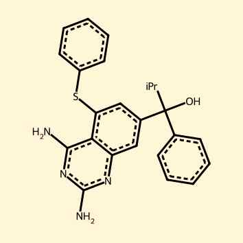 CC(C)C(O)(c1ccccc1)c1cc(Sc2ccccc2)c2c(N)nc(N)nc2c1